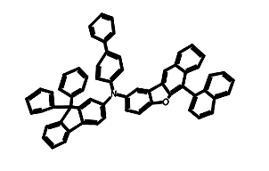 c1ccc(-c2ccc(N(c3ccc4c(c3)C(c3ccccc3)(c3ccccc3)c3ccccc3-4)c3ccc4oc5c(-c6cccc7ccccc67)c6ccccc6cc5c4c3)cc2)cc1